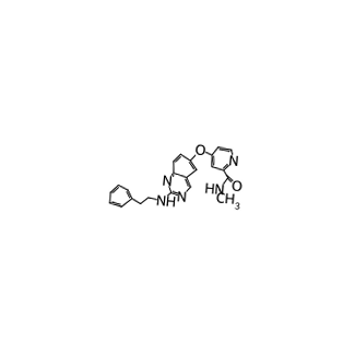 CNC(=O)c1cc(Oc2ccc3nc(NCCc4ccccc4)ncc3c2)ccn1